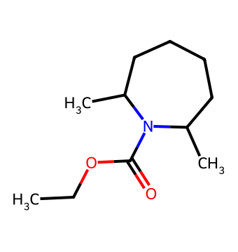 CCOC(=O)N1C(C)CCCCC1C